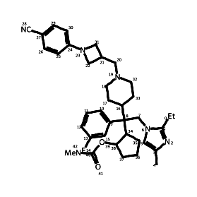 CCc1nc(C)cn1CC(c1cccc(F)c1)(C1CCN(CC2CN(c3ccc(C#N)cc3)C2)CC1)C1CCCC1OC(=O)NC